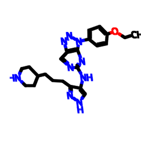 CCOc1ccc(-n2nnc3cnc(Nc4c[nH]nc4CCCC4CCNCC4)nc32)cc1